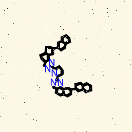 c1cc(-c2ncc3ccc4ccc(-c5ccc6ccccc6c5)cc4c3n2)nc(-c2ncc3ccc4ccc(-c5ccc6ccccc6c5)cc4c3n2)c1